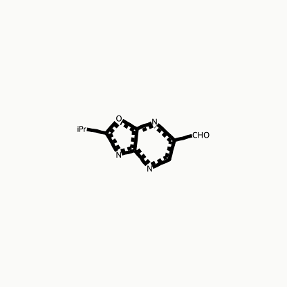 CC(C)c1nc2ncc(C=O)nc2o1